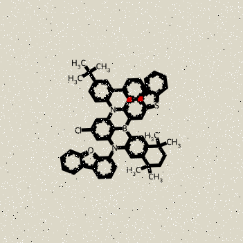 CC(C)(C)c1ccc(N2c3cc4c(cc3B3c5cc6c(cc5N(c5cccc7c5oc5ccccc57)c5cc(Cl)cc2c53)C(C)(C)CCC6(C)C)sc2ccccc24)c(-c2ccccc2)c1